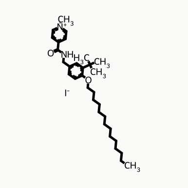 CCCCCCCCCCCCCCOc1ccc(CNC(=O)c2cc[n+](C)cc2)cc1C(C)(C)C.[I-]